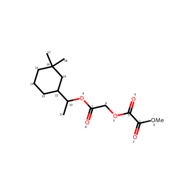 COC(=O)C(=O)OCC(=O)OC(C)C1CCCC(C)(C)C1